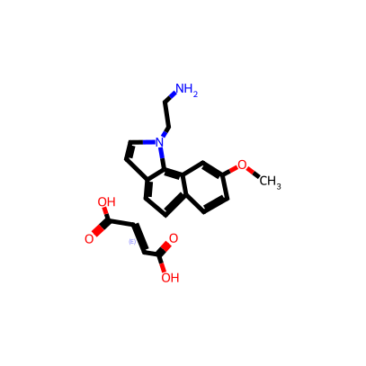 COc1ccc2ccc3ccn(CCN)c3c2c1.O=C(O)/C=C/C(=O)O